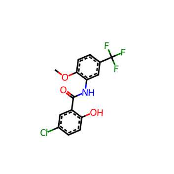 COc1ccc(C(F)(F)F)cc1NC(=O)c1cc(Cl)ccc1O